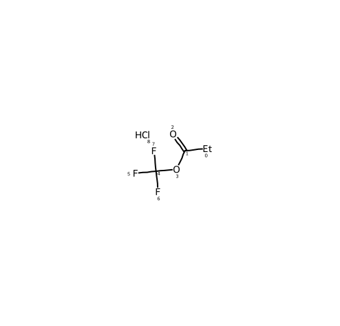 CCC(=O)OC(F)(F)F.Cl